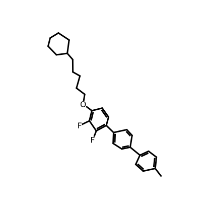 Cc1ccc(-c2ccc(-c3ccc(OCCCCCC4CCCCC4)c(F)c3F)cc2)cc1